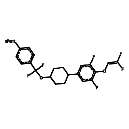 CCCCCc1ccc(C(F)(F)OC2CCC(c3cc(F)c(OC=C(F)F)c(F)c3)CC2)cc1